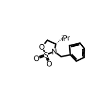 CC(C)[C@H]1COS(=O)(=O)N1Cc1ccccc1